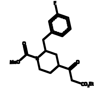 CCOC(=O)CC(=O)C1CCN(C(=O)OC)C(Cc2cccc(F)c2)C1